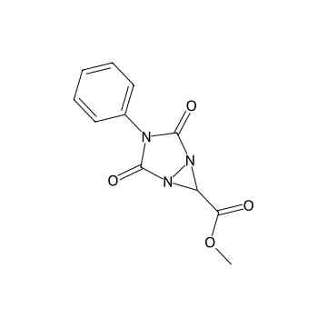 COC(=O)C1n2c(=O)n(-c3ccccc3)c(=O)n21